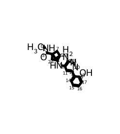 CNC(=O)C12CC(C1)C(Nc1cc(-c3ccccc3O)nnc1N)C2